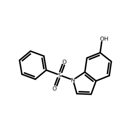 O=S(=O)(c1ccccc1)n1ccc2ccc(O)cc21